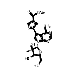 COC(=O)c1csc(-c2cn([C@@H]3OC(CO)C(O)[C@]3(C)O)c3ncnc(N)c23)c1